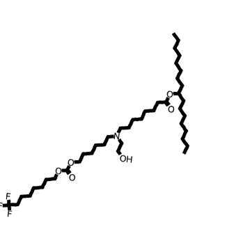 CCCCCCCCC(CCCCCCCC)OC(=O)CCCCCCCN(CCO)CCCCCCOC(=O)OCCCCCCCC(F)(F)F